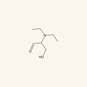 CCN(CC)C(C=O)CO